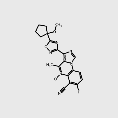 COC1(c2nc(-c3ncn4c3c(C)[n+]([O-])c3c(C#N)c(F)ccc34)no2)CCCC1